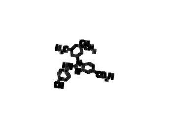 C[C@@H]1C[C@H](n2c(Nc3ccc(C#N)cc3)nc3cc(C(=O)O)ccc32)CC(C)(C)C1